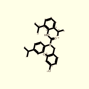 CC(C)c1ccc(N(Cc2ccc(Cl)cc2Cl)C(=O)Nc2c(C(C)C)cccc2C(C)C)cc1